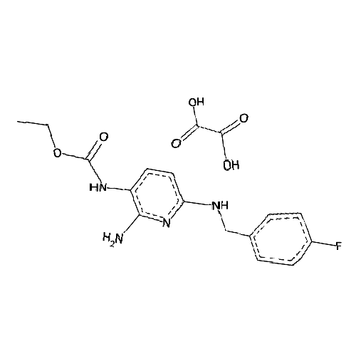 CCOC(=O)Nc1ccc(NCc2ccc(F)cc2)nc1N.O=C(O)C(=O)O